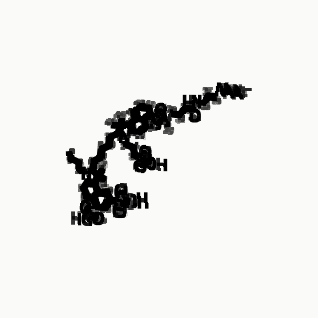 CCCCN1/C(=C/C=C/C=C/C2=[N+](CCCS(=O)(=O)O)c3ccc4c(S(=O)(=O)N(C)CCCC(=O)NCCCN=[N+]=[N-])cccc4c3C2(C)C)C(C)(C)c2c1ccc1c(S(=O)(=O)O)cc(S(=O)(=O)O)cc21